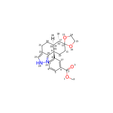 COC(=O)c1cccc([C@]23CCC4(OCCO4)[C@@H](C)[C@@H]2CCc2c[nH]nc23)c1